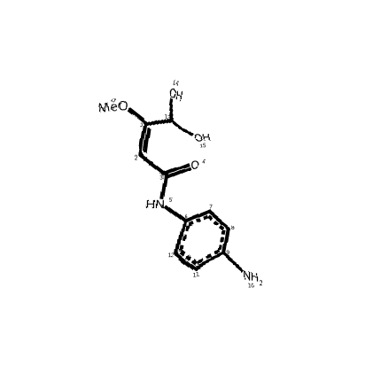 CO/C(=C/C(=O)Nc1ccc(N)cc1)C(O)O